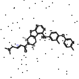 Cc1ccc(Oc2ccc(Nc3ncnc4sc5c(c34)C[C@H](C)N(C(=O)/C=C/CN(C)C)[C@@H]5C)cc2C)cn1